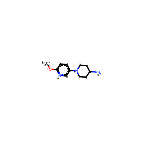 COc1ccc(N2CCC(N)CC2)cn1